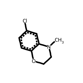 CN1CCOc2ccc(Cl)cc21